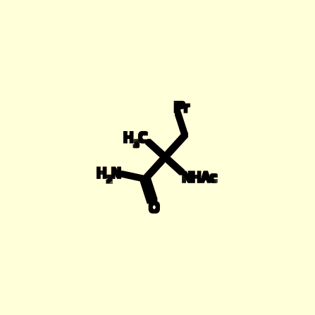 CC(=O)NC(C)(CC(C)C)C(N)=O